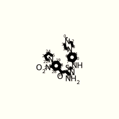 CN1CCN(c2ccc(Nc3nc(N)c(C(=O)c4ccc(N5CCCC5)c([N+](=O)[O-])c4)s3)cc2)CC1